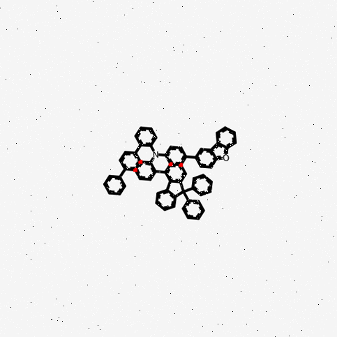 c1ccc(-c2ccc(-c3ccccc3N(c3ccc(-c4ccc5oc6ccccc6c5c4)cc3)c3ccccc3-c3cccc4c3-c3ccccc3C4(c3ccccc3)c3ccccc3)cc2)cc1